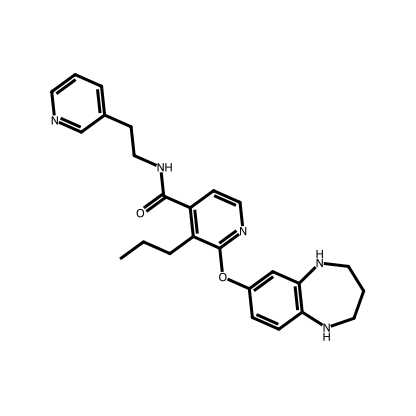 CCCc1c(C(=O)NCCc2cccnc2)ccnc1Oc1ccc2c(c1)NCCCN2